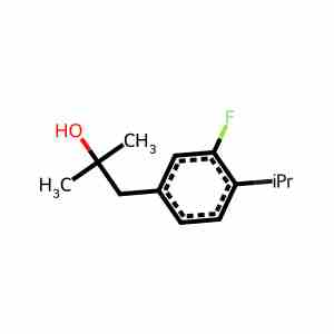 CC(C)c1ccc(CC(C)(C)O)cc1F